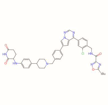 CC(C)(C)c1nc(C(=O)NCc2ccc(-c3ncnn4cc(-c5ccc(CN6CCC(c7ccc(NC8CCC(=O)NC8=O)cc7)CC6)cc5)cc34)cc2Cl)no1